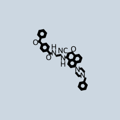 N#CC1=C(NCCNC(=O)c2ccc(C(=O)c3ccccc3)cc2)c2ccc(N3CCN(Cc4ccccc4)CC3)c3cccc(c23)C1=O